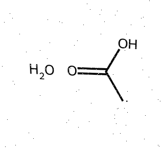 O.[CH2]C(=O)O